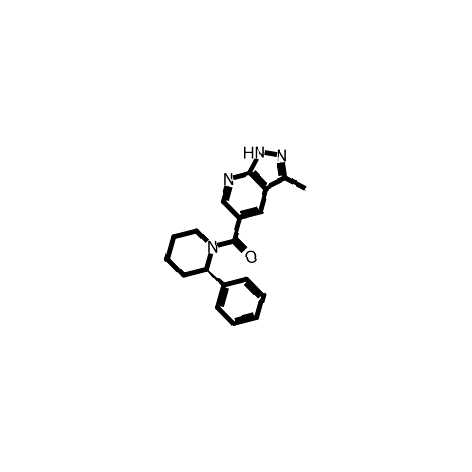 Cc1n[nH]c2ncc(C(=O)N3CCCC[C@@H]3c3ccccc3)cc12